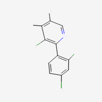 Cc1c(C(F)(F)F)cnc(-c2ccc(Cl)cc2F)c1Cl